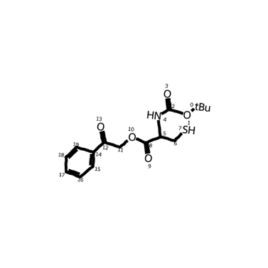 CC(C)(C)OC(=O)NC(CS)C(=O)OCC(=O)c1ccccc1